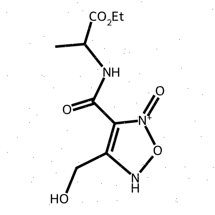 CCOC(=O)C(C)NC(=O)c1c(CO)[nH]o[n+]1=O